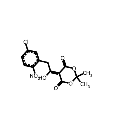 CC1(C)OC(=O)C(=C(O)Cc2cc(Cl)ccc2[N+](=O)[O-])C(=O)O1